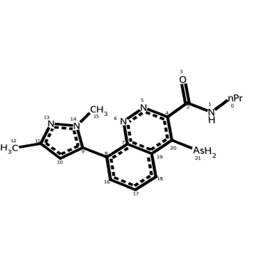 CCCNC(=O)c1nnc2c(-c3cc(C)nn3C)cccc2c1[AsH2]